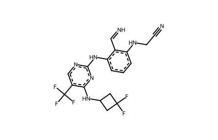 N#CCNc1cccc(Nc2ncc(C(F)(F)F)c(NC3CC(F)(F)C3)n2)c1C=N